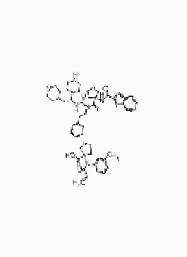 C=CC(=O)N(c1cccc(C)c1)C1(C(=O)O)CCCC1.O=C(NC1(C(=O)N(CCc2ccccc2)C(=O)N[C@H](CC2CCSCC2)C2CCNCC2)CCCC1)c1cc2ccccc2s1